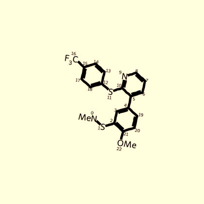 CNSc1cc(-c2cccnc2Sc2ccc(C(F)(F)F)cc2)ccc1OC